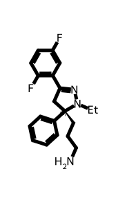 CCN1N=C(c2cc(F)ccc2F)C[C@@]1(CCCN)c1ccccc1